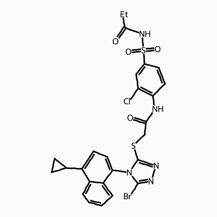 CCC(=O)NS(=O)(=O)c1ccc(NC(=O)CSc2nnc(Br)n2-c2ccc(C3CC3)c3ccccc23)c(Cl)c1